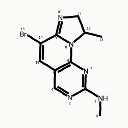 CNc1ncc2c(n1)N1C(=NCC1C)C(Br)=C2